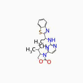 CC(C)C1COC(=O)N1c1ccnc(N[C@@H](C)c2nc3ccccc3s2)n1